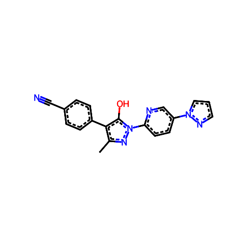 Cc1nn(-c2ccc(-n3cccn3)cn2)c(O)c1-c1ccc(C#N)cc1